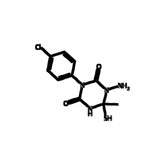 CC1(S)NC(=O)N(c2ccc(Cl)cc2)C(=O)N1N